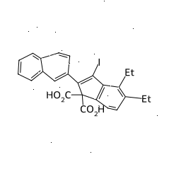 CCc1ccc2c(c1CC)C(I)=C(c1ccc3ccccc3c1)C2(C(=O)O)C(=O)O